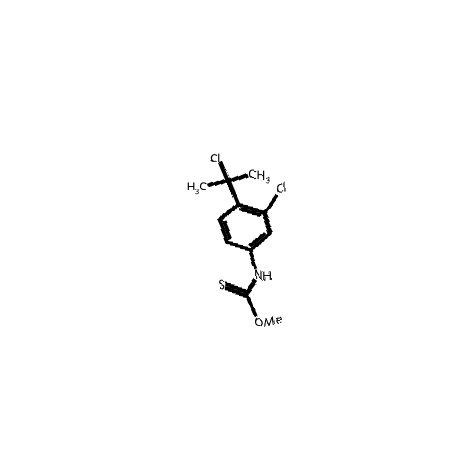 COC(=S)Nc1ccc(C(C)(C)Cl)c(Cl)c1